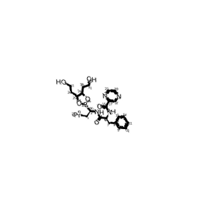 CC(C)C[C@H](NC(=O)[C@H](Cc1ccccc1)NC(=O)c1cnccn1)B1OC(CCO)C(CCO)O1